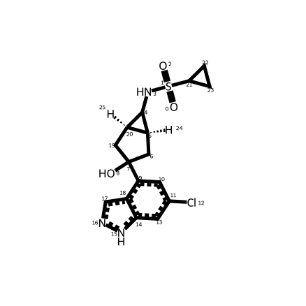 O=S(=O)(NC1[C@H]2CC(O)(c3cc(Cl)cc4[nH]ncc34)C[C@@H]12)C1CC1